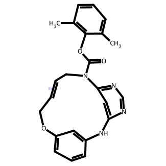 Cc1cccc(C)c1OC(=O)N1C/C=C/COc2cccc(c2)Nc2cc1ncn2